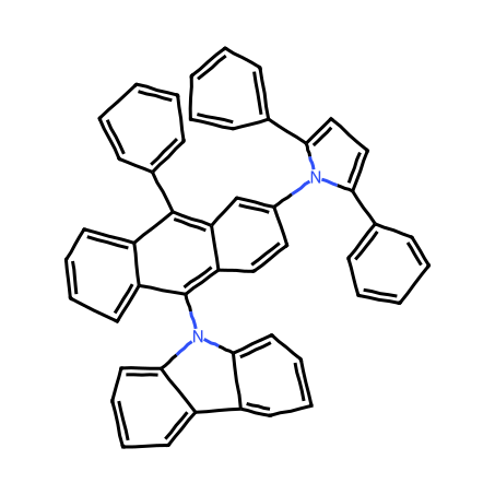 c1ccc(-c2c3ccccc3c(-n3c4ccccc4c4ccccc43)c3ccc(-n4c(-c5ccccc5)ccc4-c4ccccc4)cc23)cc1